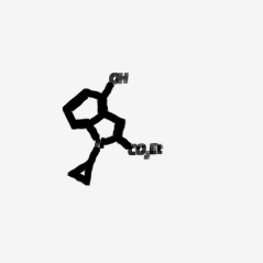 CCOC(=O)c1cc2c(O)cccc2n1C1CC1